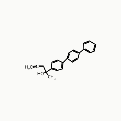 C=C=CC(C)(O)c1ccc(-c2ccc(-c3ccccc3)cc2)cc1